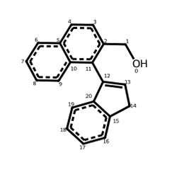 OCc1ccc2ccccc2c1C1=CCc2ccccc21